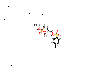 CCOC(=O)C(CCCOS(=O)(=O)c1ccc(C)cc1)P(=O)(OCC)OCC